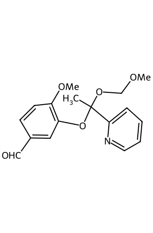 COCOC(C)(Oc1cc(C=O)ccc1OC)c1ccccn1